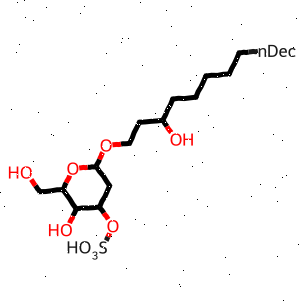 CCCCCCCCCCCCCCCC(O)CCOC1CC(OS(=O)(=O)O)C(O)C(CO)O1